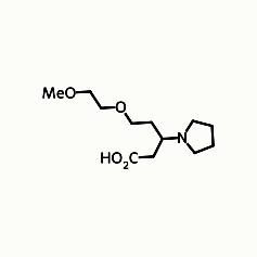 COCCOCCC(CC(=O)O)N1CCCC1